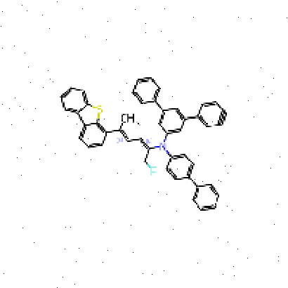 C/C(=C\C=C(/CF)N(c1ccc(-c2ccccc2)cc1)c1cc(-c2cc#ccc2)cc(-c2ccccc2)c1)c1cccc2c1sc1ccccc12